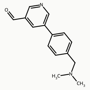 CN(C)Cc1ccc(-c2cncc(C=O)c2)cc1